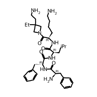 CCC1(CCN)CN(C(=O)[C@@H](CCCCN)NC(=O)[C@@H](CC(C)C)NC(=O)[C@@H](Cc2ccccc2)NC(=O)[C@H](N)Cc2ccccc2)C1